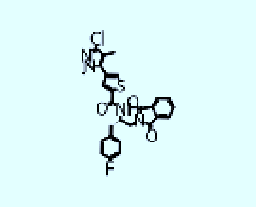 Cc1c(Cl)nn(C)c1-c1csc(C(=O)N[C@@H](Cc2ccc(F)cc2)CN2C(=O)c3ccccc3C2=O)c1